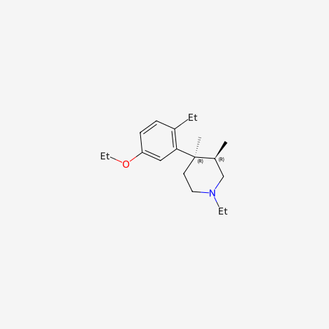 CCOc1ccc(CC)c([C@]2(C)CCN(CC)C[C@@H]2C)c1